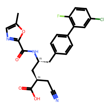 Cc1cnc(C(=O)N[C@H](Cc2ccc(-c3cc(Cl)ccc3F)cc2)C[C@@H](CC#N)C(=O)O)o1